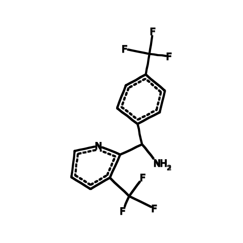 NC(c1ccc(C(F)(F)F)cc1)c1ncccc1C(F)(F)F